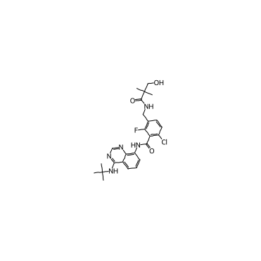 CC(C)(C)Nc1ncnc2c(NC(=O)c3c(Cl)ccc(CNC(=O)C(C)(C)CO)c3F)cccc12